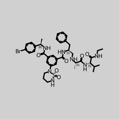 CCNC(=O)[C@@H](NC(=O)[C@H](C)NC[C@H](Cc1ccccc1)NC(=O)c1cc(C(=O)N[C@H](C)c2ccc(Br)cc2)cc(N2CCCNS2(=O)=O)c1)C(C)C